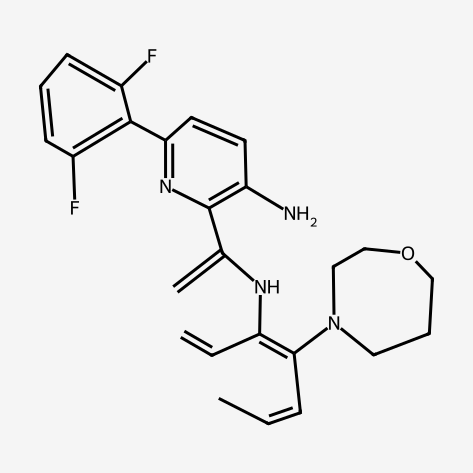 C=C/C(NC(=C)c1nc(-c2c(F)cccc2F)ccc1N)=C(\C=C/C)N1CCCOCC1